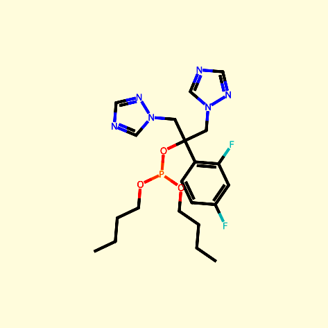 CCCCOP(OCCCC)OC(Cn1cncn1)(Cn1cncn1)c1ccc(F)cc1F